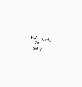 [AlH3].[GeH4].[SnH2].[Zn]